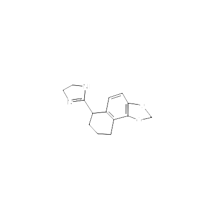 c1cc2c(c3c1OCO3)CCCC2C1=NCCN1